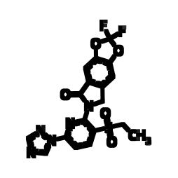 CCS(=O)(=O)c1ccc(-n2cncn2)nc1N1Cc2cc3c(cc2C1=O)OC(F)(F)O3